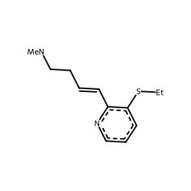 CCSc1cccnc1C=CCCNC